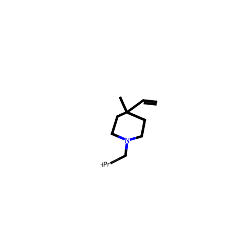 C=CC1(C)CCN(C[C](C)C)CC1